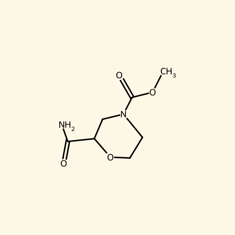 COC(=O)N1CCOC(C(N)=O)C1